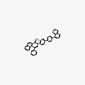 C=C1c2ccc3ccccc3c2C(c2ccccc2)=CC1c1ccc(-c2ccc(-c3cccc4cccnc34)cc2)cc1